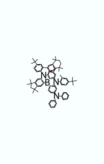 Cc1cc2c3c(c1)N(c1ccc(C(C)(C)C)cc1-c1ccc4c(c1)C(C)(C)CCC4(C)C)c1cc4c(cc1B3c1ccc(N(c3ccccc3)c3ccccc3)cc1N2c1ccc(C(C)(C)C)cc1C)C(C)(C)CC4(C)C